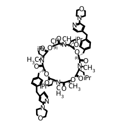 CC(C)C[C@H]1C(=O)O[C@H](Cc2ccc(Cc3ccnc(N4CCOCC4)c3)cc2)C(=O)N(C)[C@@H](CC(C)C)C(=O)O[C@H](C)C(=O)N(C)[C@@H](CC(C)C)C(=O)O[C@H](Cc2ccc(Cc3ccnc(N4CCOCC4)c3)cc2)C(=O)N(C)[C@@H](CC(C)C)C(=O)O[C@H](C)C(=O)N1C